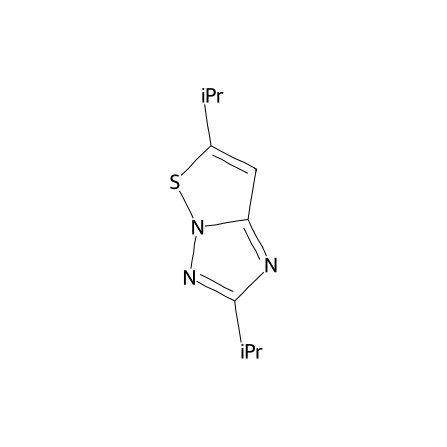 CC(C)c1nc2cc(C(C)C)sn2n1